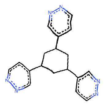 c1cc(C2CC(c3ccnnc3)CC(c3ccnnc3)C2)cnn1